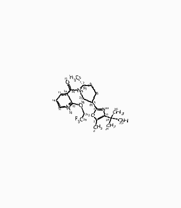 Cc1oc([C@@H]2CC[C@@H](C)N(C(=O)c3cccnc3OCC(F)(F)F)C2)nc1C(C)(C)O